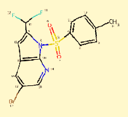 Cc1ccc(S(=O)(=O)n2c(C(F)F)cc3cc(Br)cnc32)cc1